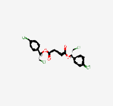 O=C(CCC(=O)O[C@H](CCl)c1ccc(Cl)cc1)O[C@H](CCl)c1ccc(Cl)cc1